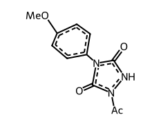 COc1ccc(-n2c(=O)[nH]n(C(C)=O)c2=O)cc1